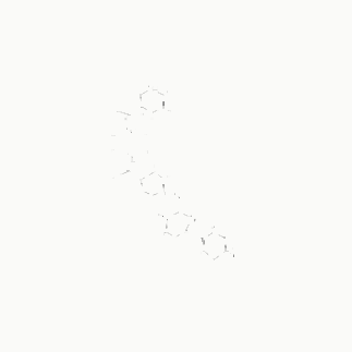 O=C(c1ccc(Nc2nccc(-c3ccc(Cl)cc3)n2)cc1)N1CCN(C(=O)c2cccnc2)CC1